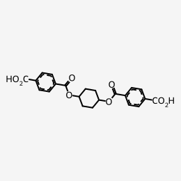 O=C(O)c1ccc(C(=O)OC2CCC(OC(=O)c3ccc(C(=O)O)cc3)CC2)cc1